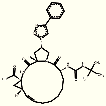 CC(C)(C)NC(=O)N[C@@H]1CCCCC/C=C\[C@@H]2C[C@]2(C(=O)O)NC(=O)[C@@H]2C[C@H](n3nnc(-c4ccccc4)n3)CN2C1=O